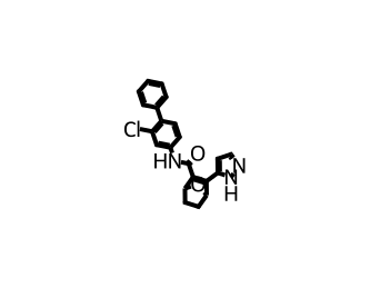 O=C(Nc1ccc(-c2ccccc2)c(Cl)c1)C1=C(c2ccn[nH]2)C2CCC1O2